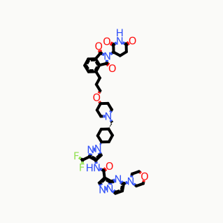 O=C1CCC(N2C(=O)c3cccc(CCCOC4CCN(C[C@H]5CC[C@H](n6cc(NC(=O)c7cnn8ccc(N9CCOCC9)nc78)c(C(F)F)n6)CC5)CC4)c3C2=O)C(=O)N1